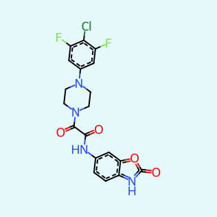 O=C(Nc1ccc2[nH]c(=O)oc2c1)C(=O)N1CCN(c2cc(F)c(Cl)c(F)c2)CC1